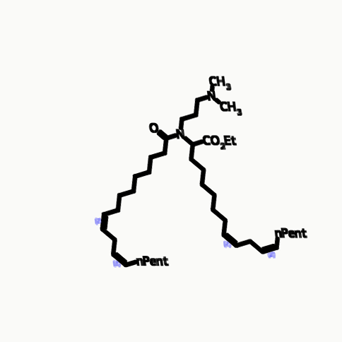 CCCCC/C=C\C/C=C\CCCCCCCC(=O)N(CCCN(C)C)C(CCCCCC/C=C\C/C=C\CCCCC)C(=O)OCC